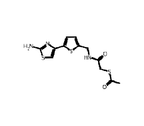 CC(=O)SCC(=O)NCc1ccc(-c2csc(N)n2)s1